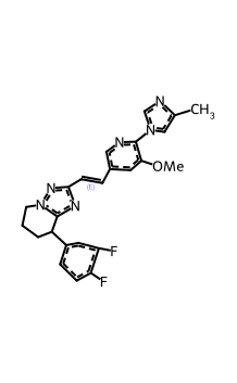 COc1cc(/C=C/c2nc3n(n2)CCCC3c2ccc(F)c(F)c2)cnc1-n1cnc(C)c1